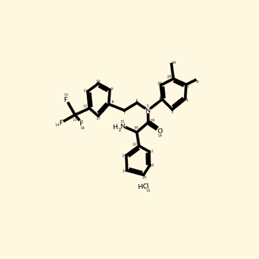 Cc1ccc(N(CCc2cccc(C(F)(F)F)c2)C(=O)C(N)c2ccccc2)cc1C.Cl